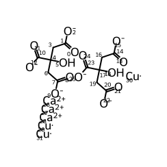 O=C([O-])CC(O)(CC(=O)[O-])C(=O)[O-].O=C([O-])CC(O)(CC(=O)[O-])C(=O)[O-].[Ca+2].[Ca+2].[Ca+2].[Cu].[Cu].[Cu]